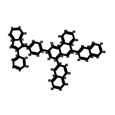 c1ccc(-c2nc3ccccc3n2-c2ccc(-c3cc(-c4ccc5ccccc5c4)c4cc(-c5ccc6ccccc6c5)c5ccccc5c4n3)cc2)cc1